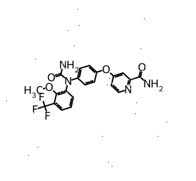 COc1c(N(C(N)=O)c2ccc(Oc3ccnc(C(N)=O)c3)cc2)cccc1C(F)(F)F